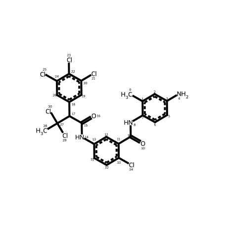 Cc1cc(N)ccc1NC(=O)c1cc(NC(=O)C(c2cc(Cl)c(Cl)c(Cl)c2)C(C)(Cl)Cl)ccc1Cl